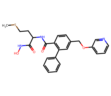 CSCCC(NC(=O)c1ccc(COc2cccnc2)cc1-c1ccccc1)C(=O)NO